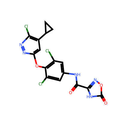 O=C(Nc1cc(Cl)c(Oc2cc(C3CC3)c(Cl)nn2)c(Cl)c1)c1noc(=O)[nH]1